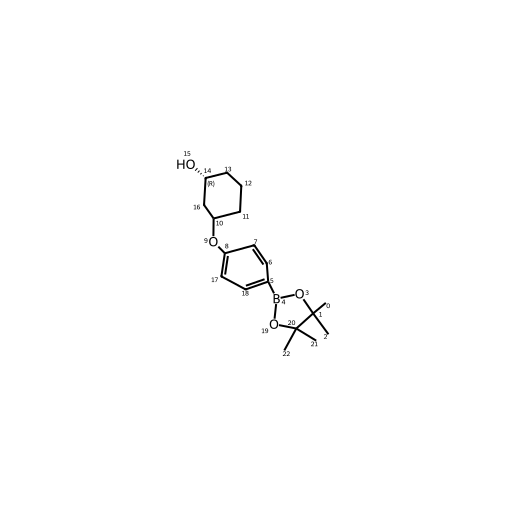 CC1(C)OB(c2ccc(OC3CCC[C@@H](O)C3)cc2)OC1(C)C